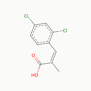 CC(=Cc1ccc(Cl)cc1Cl)C(=O)O